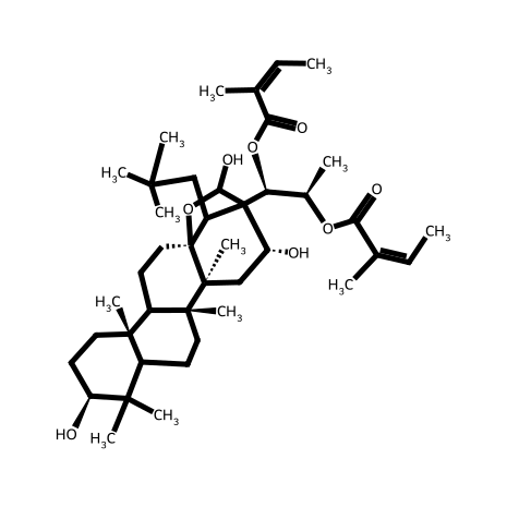 C/C=C(/C)C(=O)O[C@H](C)[C@H](OC(=O)/C(C)=C\C)C12C(O)O[C@@]3(CCC4[C@@]5(C)CC[C@H](O)C(C)(C)C5CC[C@@]4(C)[C@]3(C)C[C@H]1O)C2CC(C)(C)C